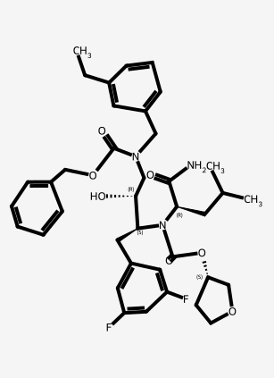 CCc1cccc(CN(C[C@@H](O)[C@H](Cc2cc(F)cc(F)c2)N(C(=O)O[C@H]2CCOC2)[C@H](CC(C)C)C(N)=O)C(=O)OCc2ccccc2)c1